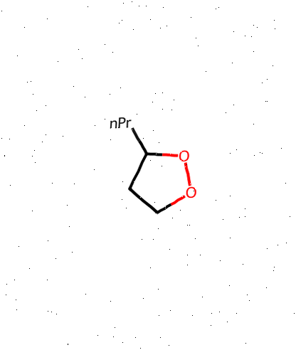 [CH2]CCC1CCOO1